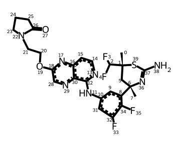 C[C@]1(C(F)F)C[C@@](C)(c2cc(Nc3nccc4nc(OCCN5CCCC5=O)cnc34)cc(F)c2F)N=C(N)S1